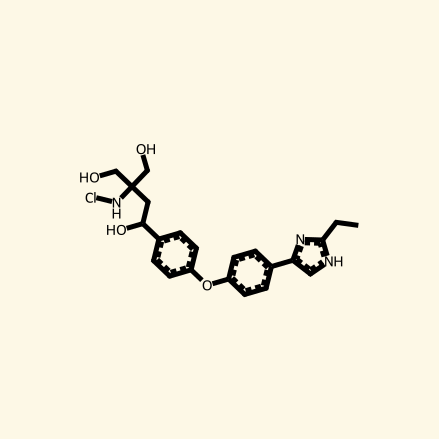 CCc1nc(-c2ccc(Oc3ccc(C(O)CC(CO)(CO)NCl)cc3)cc2)c[nH]1